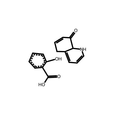 O=C(O)c1ccccc1O.O=C1C=CCC2=CC=CNC12